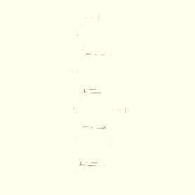 CC(=O)SC(CC(=O)OC(O)CO)C(=O)O